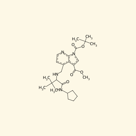 COC(=O)c1cn(C(=O)OC(C)(C)C)c2nccc(CNC(C(=O)NC3CCCC3)C(C)(C)C)c12